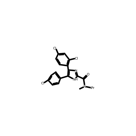 CC(C)N(C)C(=O)c1nc(-c2ccc(Cl)cc2Cl)c(-c2ccc(Cl)cc2)[nH]1